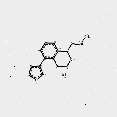 CNCC1OCCc2c(-c3cocn3)cccc21.Cl